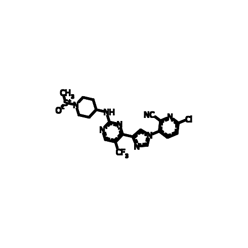 C[S+]([O-])N1CCC(Nc2ncc(C(F)(F)F)c(-c3cn(-c4ccc(Cl)nc4C#N)cn3)n2)CC1